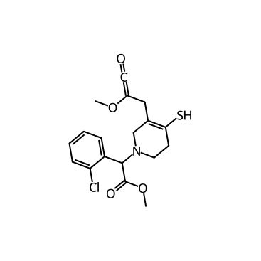 COC(=O)C(c1ccccc1Cl)N1CCC(S)=C(CC(=C=O)OC)C1